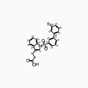 O=C(O)CCc1cn(S(=O)(=O)c2cccc(-c3cccc(F)c3)c2)c2ccccc12